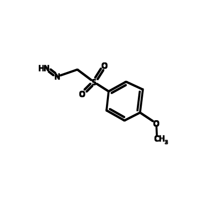 COc1ccc(S(=O)(=O)CN=N)cc1